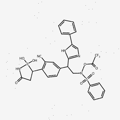 N#Cc1cc(C(CN(OC(=O)C(F)(F)F)S(=O)(=O)c2ccccc2)c2ncc(-c3ccccc3)[nH]2)ccc1C1CC(=O)NS1(O)O